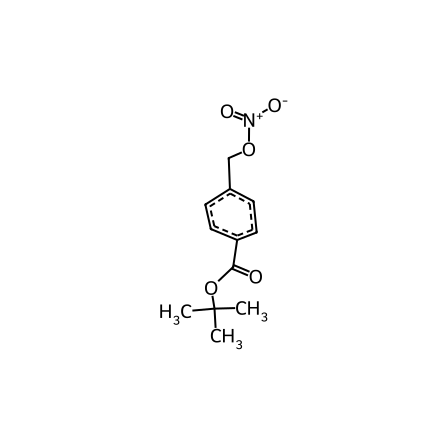 CC(C)(C)OC(=O)c1ccc(CO[N+](=O)[O-])cc1